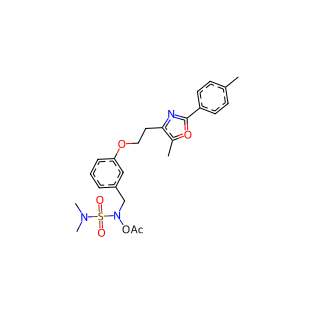 CC(=O)ON(Cc1cccc(OCCc2nc(-c3ccc(C)cc3)oc2C)c1)S(=O)(=O)N(C)C